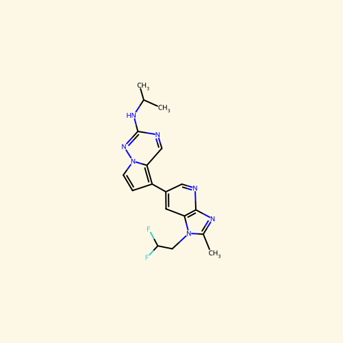 Cc1nc2ncc(-c3ccn4nc(NC(C)C)ncc34)cc2n1CC(F)F